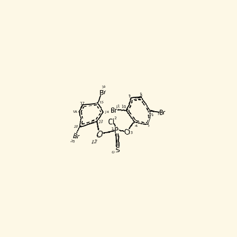 S=P(Cl)(Oc1cc(Br)ccc1Br)Oc1cc(Br)ccc1Br